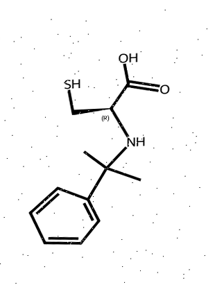 CC(C)(N[C@@H](CS)C(=O)O)c1ccccc1